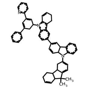 CC1(C)C2=CC=C(N3c4ccccc4C4C=C(c5ccc6c(c5)c5c(n6C6C=C(c7ccccn7)C=C(c7ccccc7)C6)C=CCC5)C=CC43)CC2C2CCC=CC21